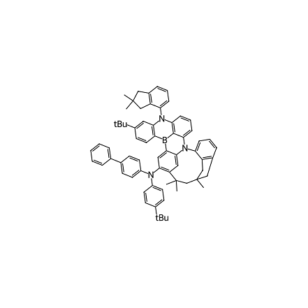 CC1(C)Cc2cccc(N3c4cc(C(C)(C)C)ccc4B4c5cc(N(c6ccc(-c7ccccc7)cc6)c6ccc(C(C)(C)C)cc6)c6cc5N(c5cccc7c5CC(C)(C7)CC6(C)C)c5cccc3c54)c2C1